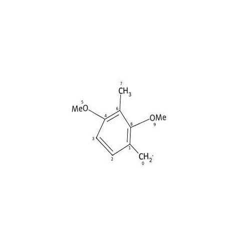 [CH2]c1ccc(OC)c(C)c1OC